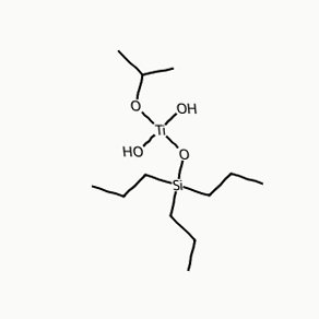 CCC[Si](CCC)(CCC)[O][Ti]([OH])([OH])[O]C(C)C